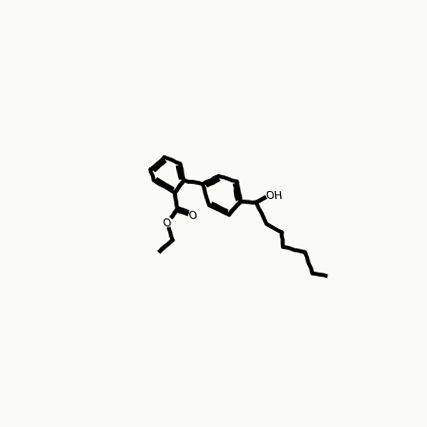 CCCCCCC(O)c1ccc(-c2ccccc2C(=O)OCC)cc1